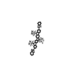 CC1(C)c2cc(-c3nc4ccccc4s3)ccc2-c2cc3c(cc21)-c1cc2c(cc1C3(C)C)-c1ccc(-c3nc4ccccc4s3)cc1C2(C)C